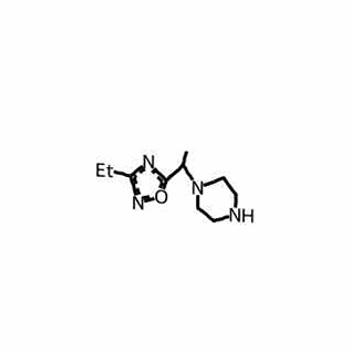 CCc1noc(C(C)N2CCNCC2)n1